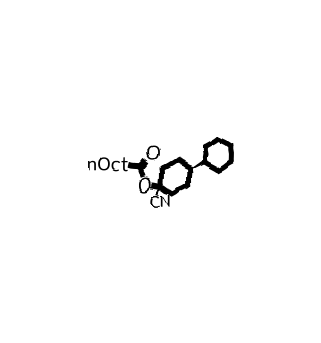 CCCCCCCCC(=O)O[C@]1(C#N)CC[C@@H](C2CCCCC2)CC1